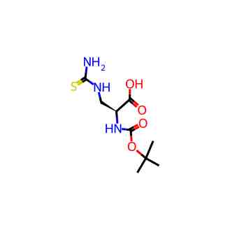 CC(C)(C)OC(=O)N[C@@H](CNC(N)=S)C(=O)O